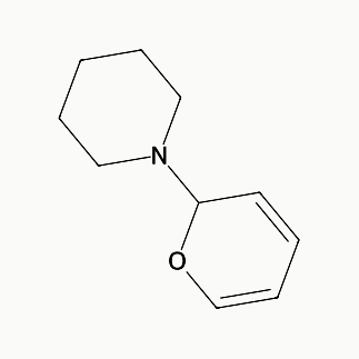 C1=COC(N2CCCCC2)C=C1